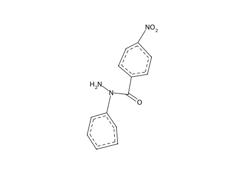 NN(C(=O)c1ccc([N+](=O)[O-])cc1)c1ccccc1